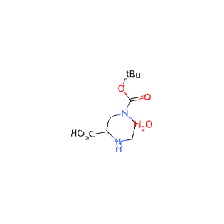 CC(C)(C)OC(=O)N1CCNC(C(=O)O)C1.O